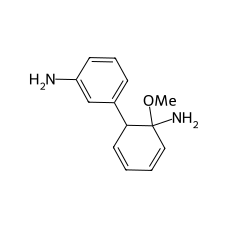 COC1(N)C=CC=CC1c1cccc(N)c1